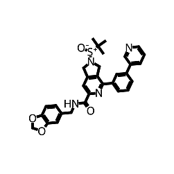 CC(C)(C)[S+]([O-])N1Cc2cc(C(=O)NCc3ccc4c(c3)OCO4)nc(-c3cccc(-c4cccnc4)c3)c2C1